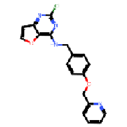 Clc1nc(NCc2ccc(OCc3ccccn3)cc2)c2occc2n1